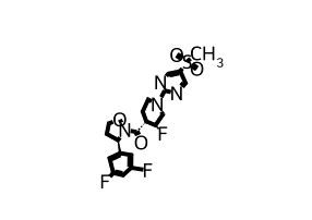 CS(=O)(=O)c1cnc(N2CC[C@@H](C(=O)N3OCC[C@@H]3c3cc(F)cc(F)c3)[C@@H](F)C2)nc1